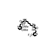 COc1ccnc(CNC(=O)c2nnc(CCCCc3nnc(C(=O)NCc4cc(C(F)(F)F)ccn4)s3)s2)c1OC